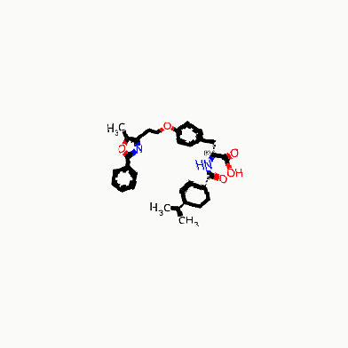 Cc1oc(-c2ccccc2)nc1CCOc1ccc(C[C@@H](NC(=O)[C@H]2CC[C@H](C(C)C)CC2)C(=O)O)cc1